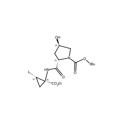 CCOC(=O)[C@]1(NC(=O)[C@@H]2C[C@@H](O)CN2C(=O)OC(C)(C)C)C[C@@H]1I